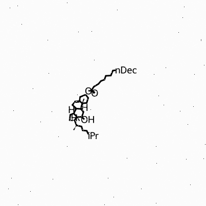 CCCCCCCCCCCCCCCCCC(=O)OC1CC[C@@]2(C)C(=CC[C@H]3[C@@H]4CC[C@H]([C@H](C)CCCC(C)C)[C@@]4(C)C(O)C[C@@H]32)C1